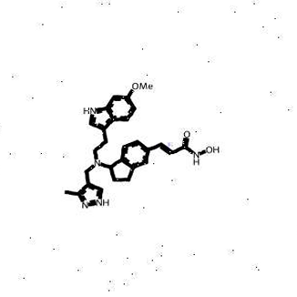 COc1ccc2c(CCN(Cc3c[nH]nc3C)C3CCc4cc(/C=C/C(=O)NO)ccc43)c[nH]c2c1